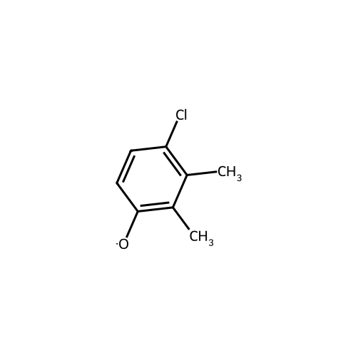 Cc1c([O])ccc(Cl)c1C